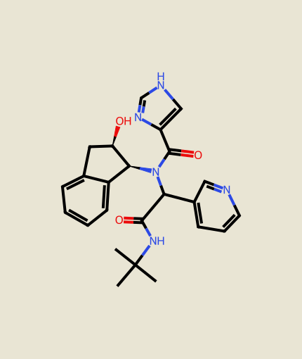 CC(C)(C)NC(=O)C(c1cccnc1)N(C(=O)c1c[nH]cn1)[C@H]1c2ccccc2C[C@H]1O